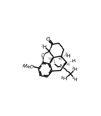 [2H]C([2H])([2H])N1CC[C@]23c4c5ccc(OC)c4OC2([2H])C(=O)CC[C@@]3([2H])[C@H]1C5